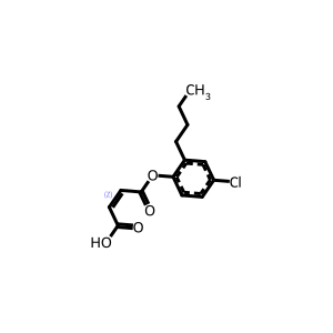 CCCCc1cc(Cl)ccc1OC(=O)/C=C\C(=O)O